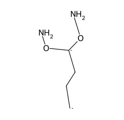 [CH2]CC[C](ON)ON